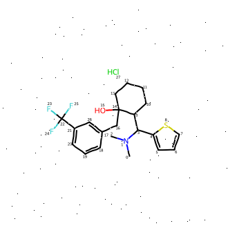 CN(C)C(c1cccs1)C1CCCCC1(O)Cc1cccc(C(F)(F)F)c1.Cl